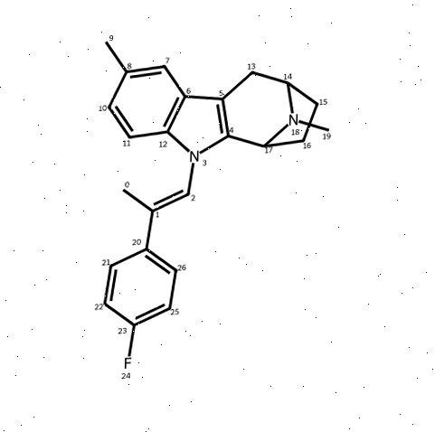 C/C(=C\n1c2c(c3cc(C)ccc31)CC1CCC2N1C)c1ccc(F)cc1